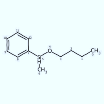 CCCCO[SiH](C)c1ccccc1